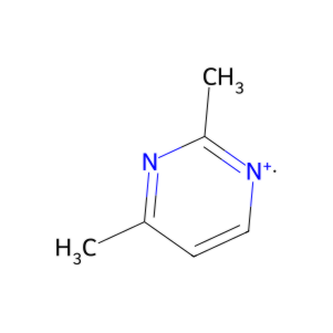 CC1=NC(C)=[N+]C=C1